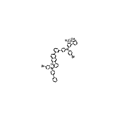 CC1(C)c2ccccc2-c2cc(N(c3ccc(Br)cc3)c3ccc(-c4cccc(-c5ccc6cc7oc8c(N(c9ccc(Br)cc9)c9ccc(-c%10ccccc%10)cc9)cccc8c7cc6c5)c4)cc3)ccc21